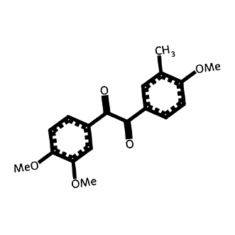 COc1ccc(C(=O)C(=O)c2ccc(OC)c(OC)c2)cc1C